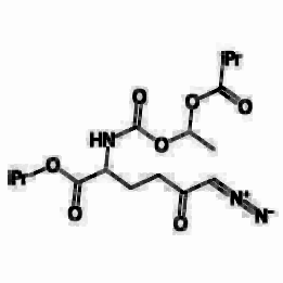 CC(C)OC(=O)C(CCC(=O)C=[N+]=[N-])NC(=O)OC(C)OC(=O)C(C)C